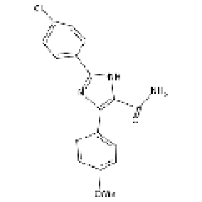 COc1ccc(-c2nc(-c3ccc(Cl)cc3)[nH]c2C(N)=O)cc1